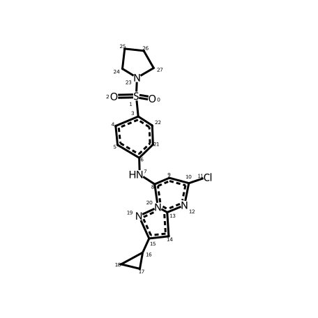 O=S(=O)(c1ccc(Nc2cc(Cl)nc3cc(C4CC4)nn23)cc1)N1CCCC1